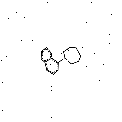 c1ccc2c([C]3CCCCCC3)cccc2c1